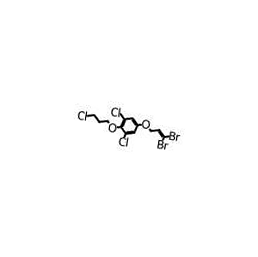 ClCCCOc1c(Cl)cc(OCC=C(Br)Br)cc1Cl